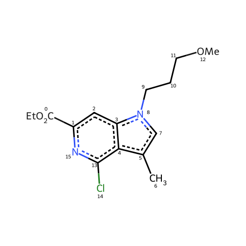 CCOC(=O)c1cc2c(c(C)cn2CCCOC)c(Cl)n1